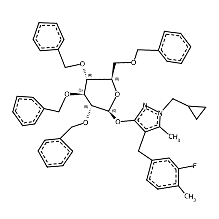 Cc1ccc(Cc2c(O[C@@H]3O[C@H](COCc4ccccc4)[C@@H](OCc4ccccc4)[C@H](OCc4ccccc4)[C@H]3OCc3ccccc3)nn(CC3CC3)c2C)cc1F